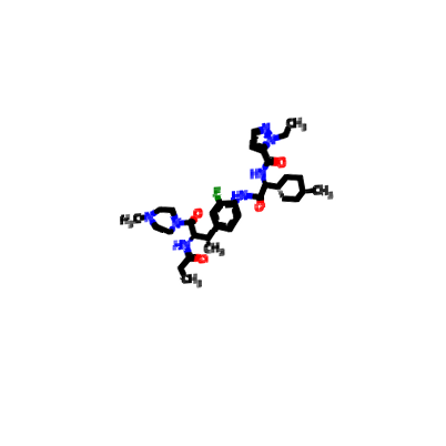 CCC(=O)N[C@H](C(=O)N1CCN(C)CC1)[C@@H](C)c1ccc(NC(=O)[C@@H](NC(=O)c2ccnn2CC)[C@H]2CC[C@H](C)CC2)c(F)c1